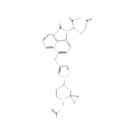 O=C1CCC(N2C(=O)c3cccc4c(Cc5cnn(C6CCN(OC(=O)C(F)(F)F)C7(CC7)C6)c5)ccc2c34)C(=O)N1